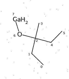 CCC(C)(CC)[O][GaH2]